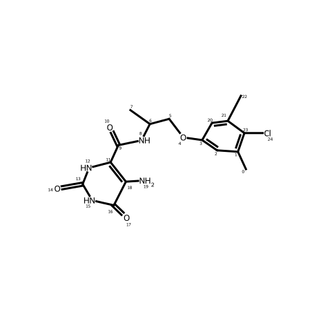 Cc1cc(OCC(C)NC(=O)c2[nH]c(=O)[nH]c(=O)c2N)cc(C)c1Cl